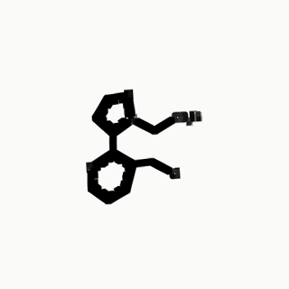 CCOC(=O)Cn1nccc1-c1ncccc1CCl